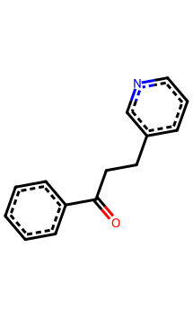 O=C(CCc1cccnc1)c1ccccc1